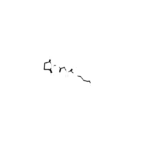 CCCCOC(=O)NCC(=O)ON1C(=O)CCC1=O